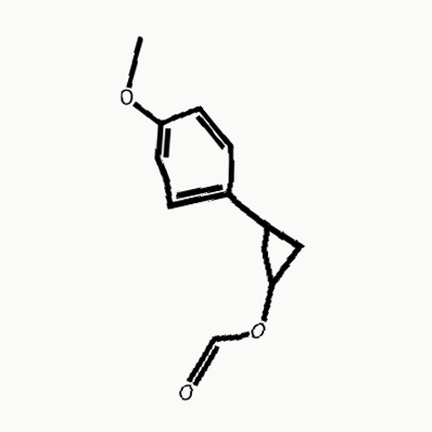 COc1ccc(C2CC2OC=O)cc1